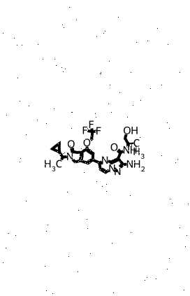 CC(C1CC1)N1Cc2cc(-c3ccn4nc(N)c(C(=O)N[C@H](C)CO)c4n3)cc(OCC(F)(F)F)c2C1=O